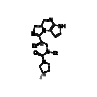 CC[C@H](CN(CC)C(=O)N1CC[C@H](C)C1)c1ncc2cnc3[nH]ccc3n12